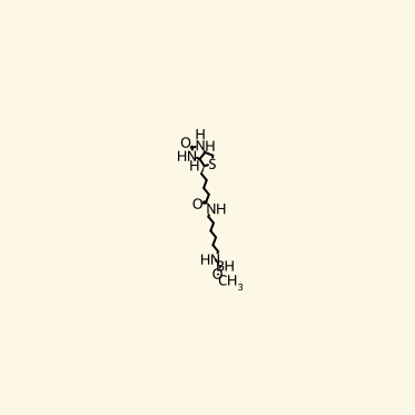 COBNCCCCCCNC(=O)CCCC[C@@H]1SC[C@@H]2NC(=O)N[C@@H]21